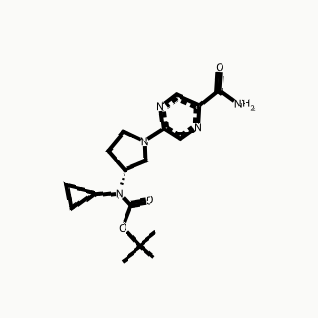 CC(C)(C)OC(=O)N(C1CC1)[C@@H]1CCN(c2cnc(C(N)=O)cn2)C1